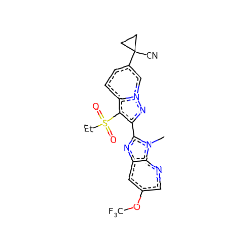 CCS(=O)(=O)c1c(-c2nc3cc(OC(F)(F)F)cnc3n2C)nn2cc(C3(C#N)CC3)ccc12